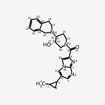 CC1CC1c1cnc2nc(C(=O)N3CC[C@H](N4CCc5ccccc5C4)[C@@H](O)C3)cn2c1